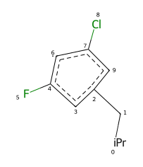 CC(C)Cc1cc(F)[c]c(Cl)c1